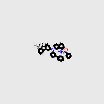 CC1(C)c2ccccc2-c2cc(N(c3cccc(-c4ccccc4)c3)c3ccc4ccc5c(c4c3)NC(c3ccccc3)O5)ccc21